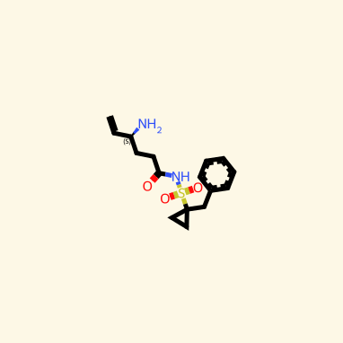 C=C[C@@H](N)CCC(=O)NS(=O)(=O)C1(Cc2ccccc2)CC1